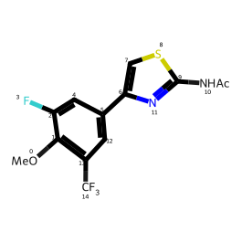 COc1c(F)cc(-c2csc(NC(C)=O)n2)cc1C(F)(F)F